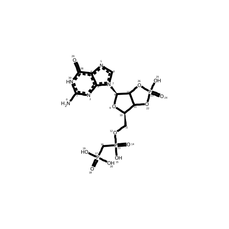 Nc1nc2c(ncn2[C@@H]2O[C@H](COP(=O)(O)CP(=O)(O)O)C3OP(=O)(O)OC32)c(=O)[nH]1